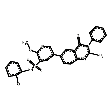 COc1ncc(-c2ccc3nc(N)n(-c4ccccc4)c(=O)c3c2)cc1S(=O)(=O)Nc1ccccc1Cl